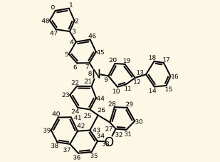 c1ccc(-c2ccc(N(c3ccc(-c4ccccc4)cc3)c3cccc(C4c5ccccc5Oc5ccc6ccccc6c54)c3)cc2)cc1